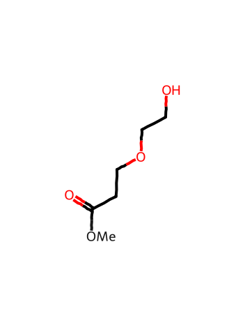 COC(=O)CCOCCO